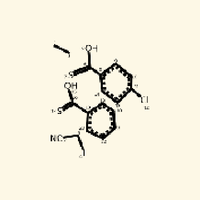 CC.N#CCI.OC(=S)c1ccc(Cl)cc1.OC(=S)c1ccccc1